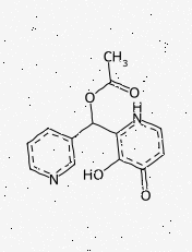 CC(=O)OC(c1cccnc1)c1[nH]ccc(=O)c1O